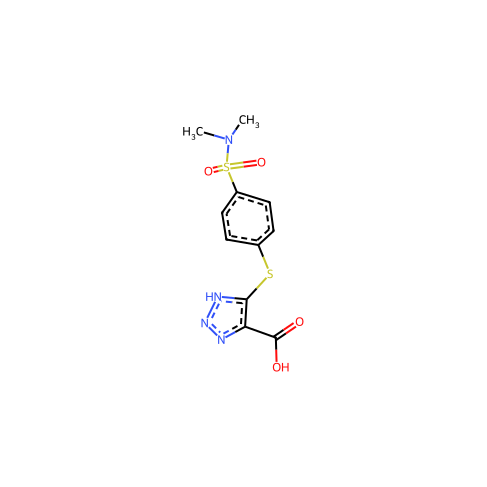 CN(C)S(=O)(=O)c1ccc(Sc2[nH]nnc2C(=O)O)cc1